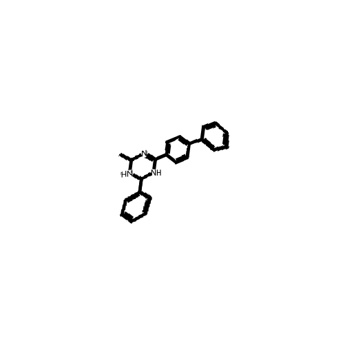 CC1N=C(c2ccc(-c3ccccc3)cc2)NC(c2ccccc2)N1